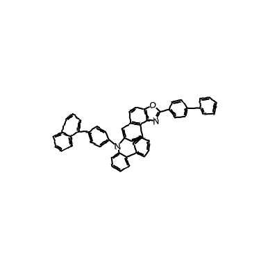 c1ccc(-c2ccc(-c3nc4c(ccc5cc(N(c6ccc(-c7cccc8ccccc78)cc6)c6ccccc6-c6ccccc6)ccc54)o3)cc2)cc1